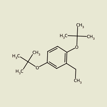 CCc1cc(OC(C)(C)C)ccc1OC(C)(C)C